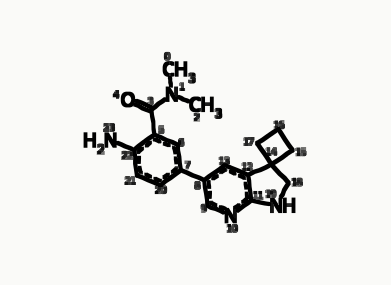 CN(C)C(=O)c1cc(-c2cnc3c(c2)C2(CCC2)CN3)ccc1N